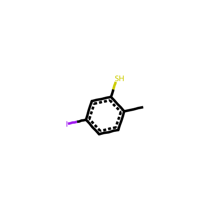 Cc1ccc(I)cc1S